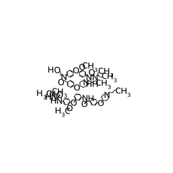 CCCCN1CCC(Oc2ccc(C(=O)N(CCO)c3ccc(Oc4ccc(NC(=O)NC(CC)CC)cc4OC)cc3)cc2)CC1.CCCCN1CCC(Oc2ccc(C(=O)Nc3cccc(Oc4ccc(NC(=O)NN(C)C)cc4OC)c3)cc2)CC1